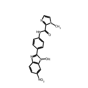 Cn1ccnc1C(=O)Nc1ccc(-c2nc3ccc([N+](=O)[O-])cc3n2O)cc1